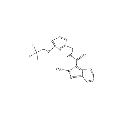 Cn1nc2ccccc2c1C(=O)NCc1cccc(OCC(F)(F)F)n1